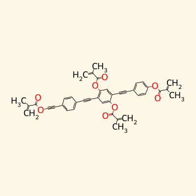 C=C(C)C(=O)OC#Cc1ccc(C#Cc2cc(OC(=O)C(=C)C)c(C#Cc3ccc(OC(=O)C(=C)C)cc3)cc2OC(=O)C(=C)C)cc1